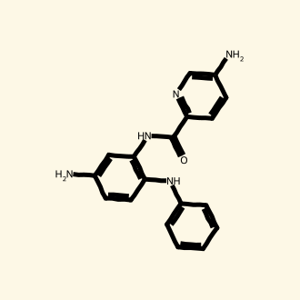 Nc1ccc(C(=O)Nc2cc(N)ccc2Nc2ccccc2)nc1